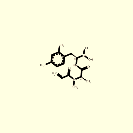 C=CC(=O)N(C)[C@H](C)C(=O)N[C@@H](Cc1ccc(C)cc1C)B(O)O